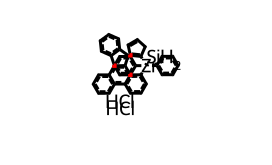 Cl.Cl.[SiH2]=[Zr]([C]1=CC=CC1)([c]1ccccc1)([c]1ccccc1)[c]1cccc2c1c1c(c3ccccc32)-c2ccccc2C1